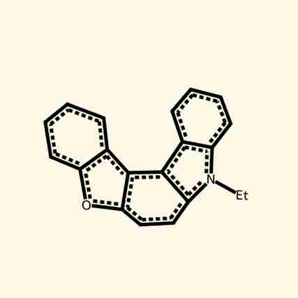 CCn1c2ccccc2c2c3c(ccc21)oc1ccccc13